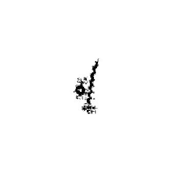 CCCCCCCCCCCCCCOP(=O)(O)O.COC(=O)c1ccc(O)cc1